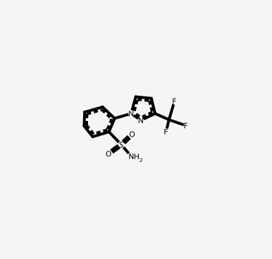 NS(=O)(=O)c1ccccc1-n1ccc(C(F)(F)F)n1